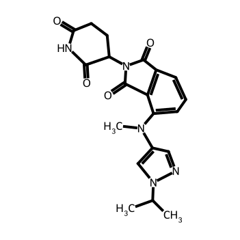 CC(C)n1cc(N(C)c2cccc3c2C(=O)N(C2CCC(=O)NC2=O)C3=O)cn1